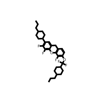 CCCC1CCC(c2cc3c(c(F)c2F)Oc2c(ccc(OC(F)(F)C4CCC(CCC)CC4)c2F)C3)CC1